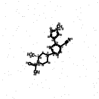 C[C@@H]1CN(c2ncc(C#N)c(-c3cnn(C)c3)n2)CCN1C(=O)O